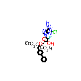 CCOC(=O)[C@@](Cc1ccc(-c2ccccc2)cc1)(OC[C@H]1O[C@@H](n2cnc3c(N)nc(Cl)nc32)[C@@H](F)[C@@H]1O)C(=O)O